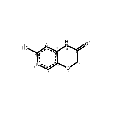 O=C1COc2cnc(S)nc2N1